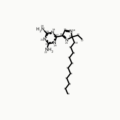 CCCCCCCCCCCC1(CC)N=CC(c2nc(N)nc(N)n2)=N1